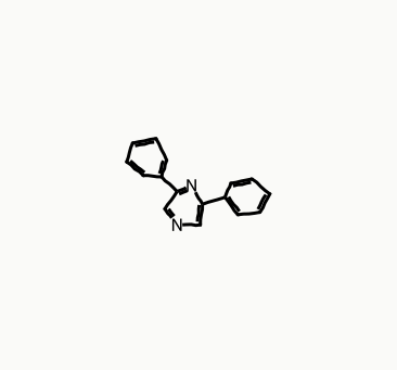 c1ccc(-c2cncc(-c3ccccc3)n2)cc1